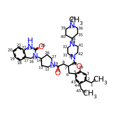 CCc1ccc(CC(CC(=O)N2CCC(N3Cc4ccccc4NC3=O)CC2)C(=O)N2CCN(C3CCN(C)CC3)CC2)cc1CC